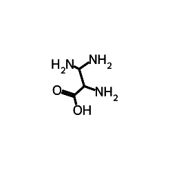 NC(N)C(N)C(=O)O